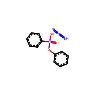 O=P(O)(Oc1ccccc1)c1ccccc1.[N-]=[N+]=N